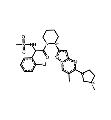 Cc1cn2nc([C@@H]3CCCCN3C(=O)C(NS(C)(=O)=O)c3ccccc3Cl)cc2nc1N1CC[C@H](C)C1